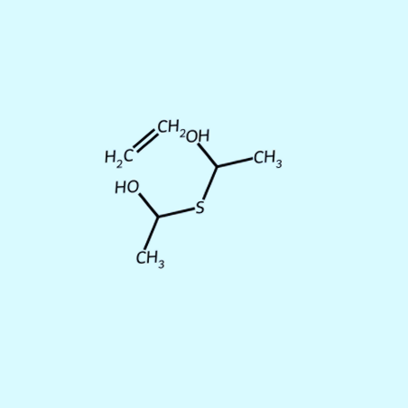 C=C.CC(O)SC(C)O